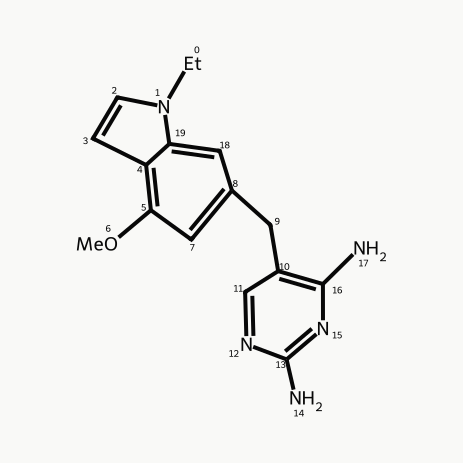 CCn1ccc2c(OC)cc(Cc3cnc(N)nc3N)cc21